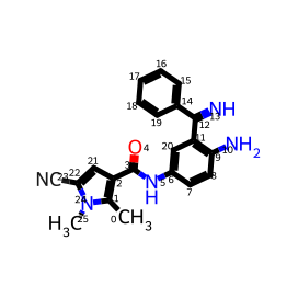 Cc1c(C(=O)Nc2ccc(N)c(C(=N)c3ccccc3)c2)cc(C#N)n1C